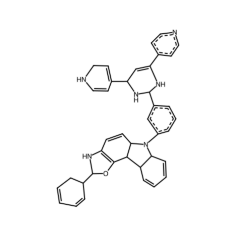 C1=CCC(C2NC3=C(O2)C2C4C=CC=CC4N(c4cccc(C5NC(c6ccncc6)=CC(C6=CCNC=C6)N5)c4)C2C=C3)C=C1